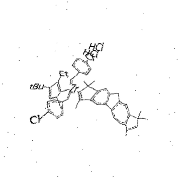 CCC1=[C]([Zr](=[CH]c2ccc(Cl)cc2)(=[CH]c2ccc(Cl)cc2)[C]2=C(C)c3cc4c(cc3C2(C)C)Cc2cc3c(cc2-4)C(C)=CC3(C)C)C(C)C=C1C(C)(C)C.Cl.Cl